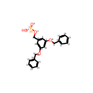 O=[PH](O)OCc1cc(OCc2ccccc2)cc(OCc2ccccc2)c1